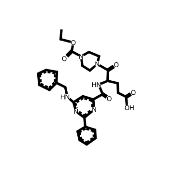 CCOC(=O)N1CCN(C(=O)C(CCC(=O)O)NC(=O)c2cc(NCc3ccccc3)nc(-c3ccccc3)n2)CC1